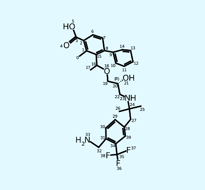 Cc1c(C(=O)O)ccc(-c2ccccc2)c1C(C)OC[C@H](O)CNC(C)(C)Cc1ccc(CN)c(C(F)(F)F)c1